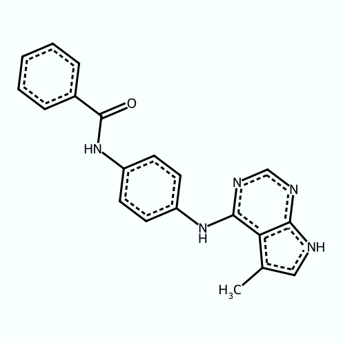 Cc1c[nH]c2ncnc(Nc3ccc(NC(=O)c4ccccc4)cc3)c12